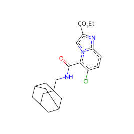 CCOC(=O)c1cn2c(C(=O)NCC34CC5CC(CC(C5)C3)C4)c(Cl)ccc2n1